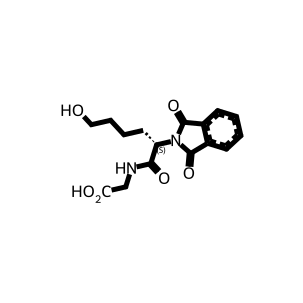 O=C(O)CNC(=O)[C@H](CCCCO)N1C(=O)c2ccccc2C1=O